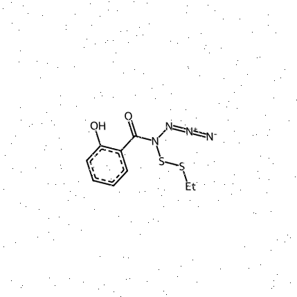 CCSSN(N=[N+]=[N-])C(=O)c1ccccc1O